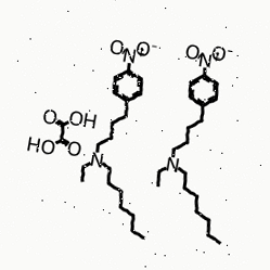 CCCCCCCN(CC)CCCCc1ccc([N+](=O)[O-])cc1.CCCCCCCN(CC)CCCCc1ccc([N+](=O)[O-])cc1.O=C(O)C(=O)O